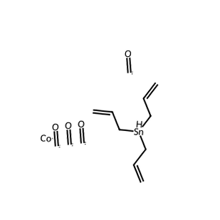 C=C[CH2][SnH]([CH2]C=C)[CH2]C=C.[C]=O.[C]=O.[C]=O.[C]=O.[Co]